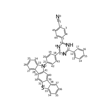 N#Cc1ccc(C(=N)/N=C(\N=C\c2ccccc2)c2ccc(-n3c4ccccc4c4cc5sc6ccccc6c5cc43)cc2)cc1